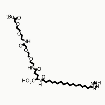 CC(C)(C)C(=O)COCCOCCNC(=O)COCCOCCNC(=O)CCC(NC(=O)CCCCCCCCCCCCCCCc1nn[nH]n1)C(=O)O